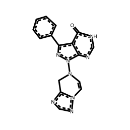 O=c1[nH]cnc2c1c(-c1ccccc1)nn2N1C=Cn2ncnc2C1